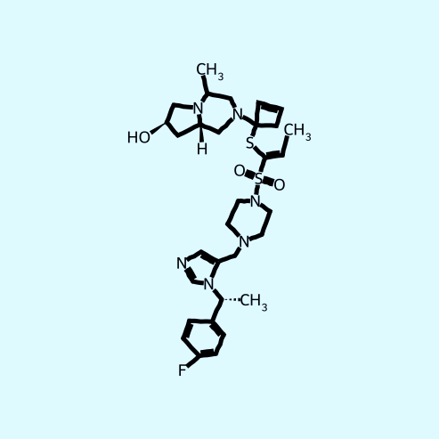 C/C=C(\SC1(N2CC(C)N3C[C@H](O)C[C@H]3C2)C=CC1)S(=O)(=O)N1CCN(Cc2cncn2[C@H](C)c2ccc(F)cc2)CC1